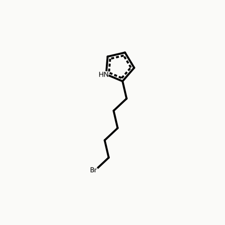 BrCCCCCc1ccc[nH]1